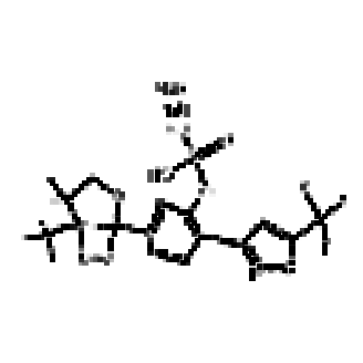 CC(C)(C)C12OOC1(c1ccc(-c3cc(C(F)(F)F)on3)c(OP(=O)(O)O)c1)OCC2(C)C.[NaH].[NaH]